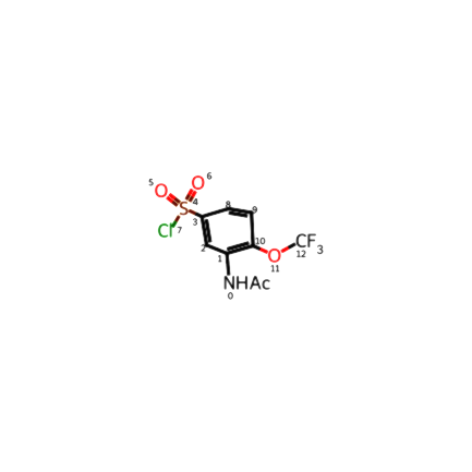 CC(=O)Nc1cc(S(=O)(=O)Cl)ccc1OC(F)(F)F